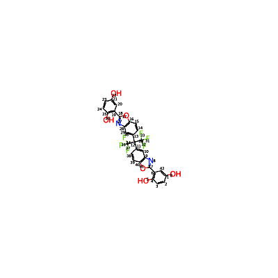 Oc1ccc(O)c(-c2nc3cc(C(c4ccc5oc(-c6cc(O)ccc6O)nc5c4)(C(F)(F)F)C(F)(F)F)ccc3o2)c1